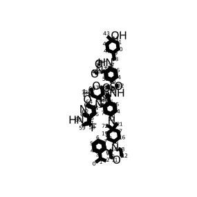 CC(C)c1ccccc1[C@@H]1COCCN1C1CCC2(CC1)CN(c1ccc(C(=O)NS(=O)(=O)c3ccc(NCC4CCC(C)(O)CC4)c([N+](=O)[O-])c3)c(N3c4cc5c(F)c[nH]c5nc4O[C@H]4COCC[C@@H]43)c1)C2